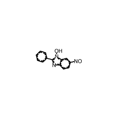 O=Nc1ccc2nc(-c3ccccc3)n(O)c2c1